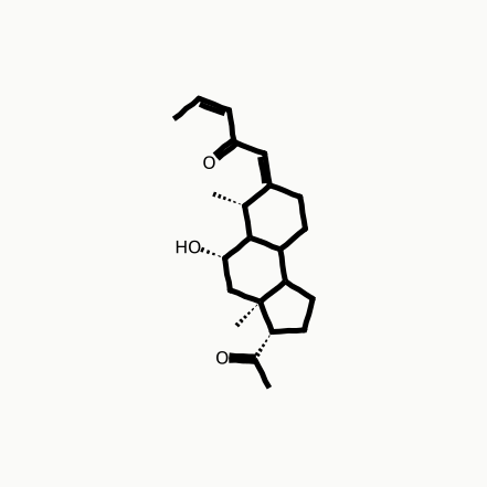 C/C=C\C(=O)/C=C1/CCC2C([C@@H]1C)[C@@H](O)C[C@@]1(C)C2CC[C@@H]1C(C)=O